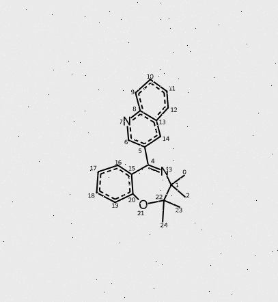 CC1(C)N=C(c2cnc3ccccc3c2)c2ccccc2OC1(C)C